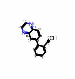 C#Cc1ccccc1-c1ccc2nccnc2c1